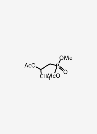 COP(=O)(CC(C)OC(C)=O)OC